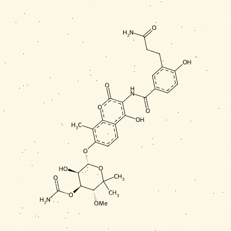 CO[C@@H]1[C@@H](OC(N)=O)[C@@H](O)[C@H](Oc2ccc3c(O)c(NC(=O)c4ccc(O)c(CCC(N)=O)c4)c(=O)oc3c2C)OC1(C)C